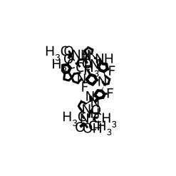 COC(=O)N[C@H](C(=O)N1CCC[C@H]1c1nc2cc([C@H]3CC[C@H](c4cc5nc([C@@H]6CCCN6C(=O)[C@H](C(C)C)N(C)C(=O)O)[nH]c5cc4F)N3c3cc(F)c(N4CCC5(CCc6ccccc65)CC4)c(F)c3)c(F)cc2[nH]1)C(C)C